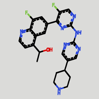 CC(O)c1ccnc2c(F)cc(-c3nc(Nc4ncc(C5CCNCC5)cn4)ncc3F)cc12